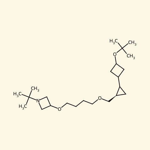 CC(C)(C)OC1CC(C2C[C@H]2COCCCCOC2CN(C(C)(C)C)C2)C1